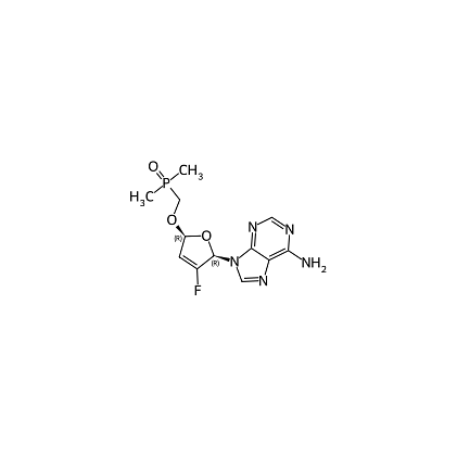 CP(C)(=O)CO[C@@H]1C=C(F)[C@H](n2cnc3c(N)ncnc32)O1